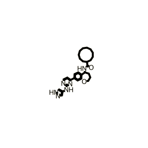 O=C(NC1CCCOc2cc(-c3ccnc(Nc4cn[nH]c4)n3)ccc21)C1CCCCCCCCCC1